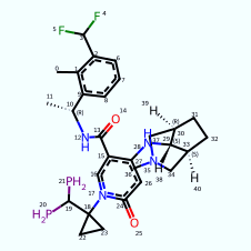 Cc1c(C(F)F)cccc1[C@@H](C)NC(=O)c1cn(C2(C(P)P)CC2)c(=O)cc1N[C@@H]1[C@@H]2CC[C@H]1CN(C)C2